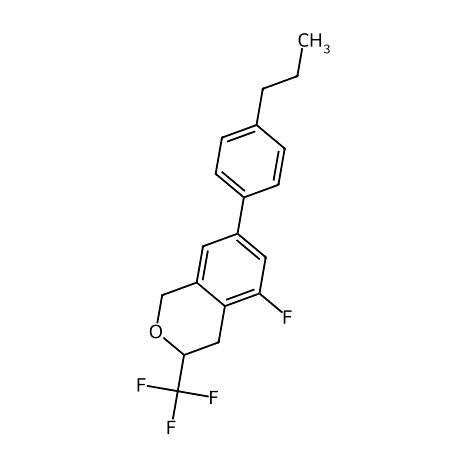 CCCc1ccc(-c2cc(F)c3c(c2)COC(C(F)(F)F)C3)cc1